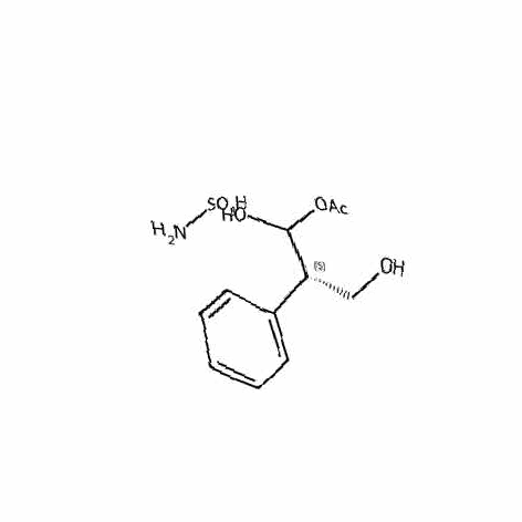 CC(=O)OC(O)[C@H](CO)c1ccccc1.NS(=O)(=O)O